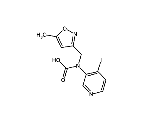 Cc1cc(CN(C(=O)O)c2cnccc2I)no1